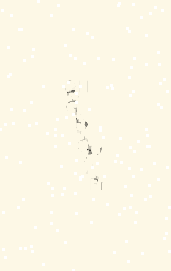 O=C(CCCCBr)OCCOCCOCCO